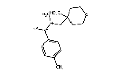 Cc1ccc([S+]([O-])N(C)CC2(C(=O)O)CCOCC2)cc1